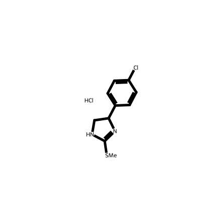 CSC1=NC(c2ccc(Cl)cc2)CN1.Cl